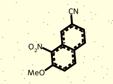 COc1ccc2ccc(C#N)cc2c1[N+](=O)[O-]